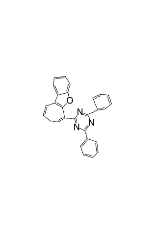 C1=Cc2c(oc3ccccc23)C(c2nc(-c3ccccc3)nc(-c3ccccc3)n2)=CC1